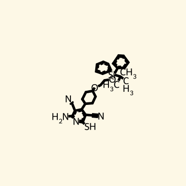 CC(C)(C)[Si](OCCOC1CCC(c2c(C#N)c(N)nc(S)c2C#N)CC1)(c1ccccc1)c1ccccc1